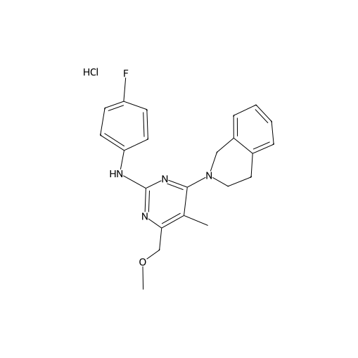 COCc1nc(Nc2ccc(F)cc2)nc(N2CCc3ccccc3C2)c1C.Cl